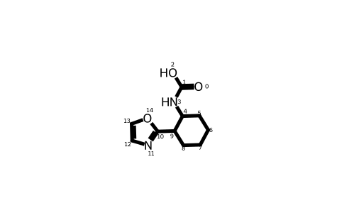 O=C(O)NC1CCCCC1c1ncco1